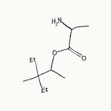 CCC(C)(CC)C(C)OC(=O)C(C)N